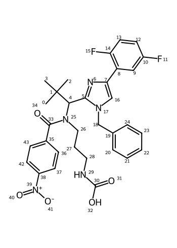 CC(C)(C)C(c1nc(-c2cc(F)ccc2F)cn1Cc1ccccc1)N(CCCNC(=O)O)C(=O)c1ccc([N+](=O)[O-])cc1